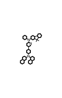 CC1(C)c2ccccc2-c2ccc(N(c3ccccc3)c3ccc(-c4ccc(N(c5ccc6ccccc6c5)c5cccc6ccccc56)cc4)cn3)cc21